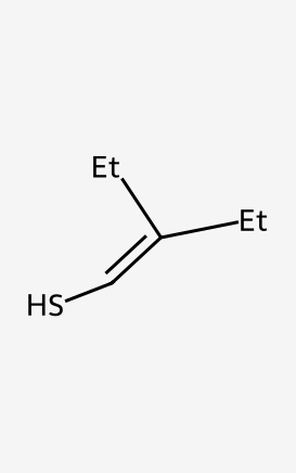 CCC(=CS)CC